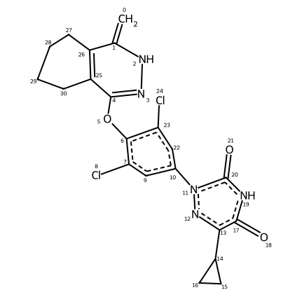 C=C1NN=C(Oc2c(Cl)cc(-n3nc(C4CC4)c(=O)[nH]c3=O)cc2Cl)C2=C1CCCC2